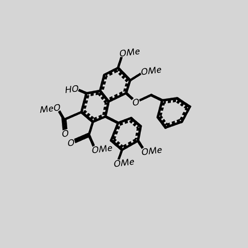 COC(=O)c1c(C(=O)OC)c(-c2ccc(OC)c(OC)c2)c2c(OCc3ccccc3)c(OC)c(OC)cc2c1O